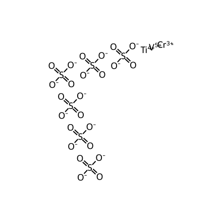 O=S(=O)([O-])[O-].O=S(=O)([O-])[O-].O=S(=O)([O-])[O-].O=S(=O)([O-])[O-].O=S(=O)([O-])[O-].O=S(=O)([O-])[O-].[Cr+3].[Ti+4].[V+5]